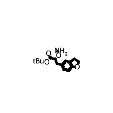 CC(C)(C)OC(=O)C(Cc1ccc2c(c1)CCO2)ON